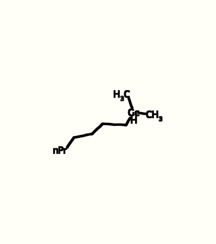 CCCCCC[CH2][GeH]([CH3])[CH3]